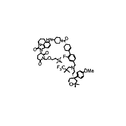 COc1ccc([C@]2(CCN(Cc3ccc(C4=CC[C@@H](C(=O)N5CCC(Nc6ccc7c8c6CCCn8c(=O)n7C6CCC(=O)N(COCC[Si](C)(C)C)C6=O)CC5)CC4)c(F)c3)CC(C)(C)C(F)(F)F)CCOC(C)(C)C2)cc1